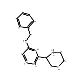 c1ccc(COc2cnnc(C3COCCN3)n2)cc1